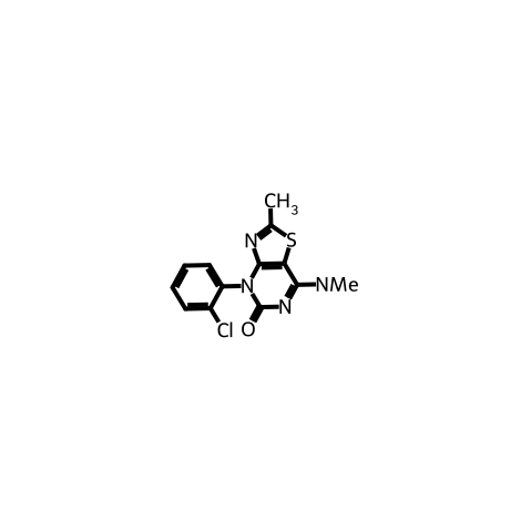 CNc1nc(=O)n(-c2ccccc2Cl)c2nc(C)sc12